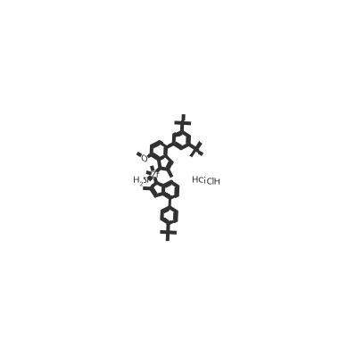 COc1ccc(-c2cc(C(C)(C)C)cc(C(C)(C)C)c2)c2c1[CH]([Zr]([CH3])([CH3])(=[SiH2])[CH]1C(C)=Cc3c(-c4ccc(C(C)(C)C)cc4)cccc31)C(C)=C2.Cl.Cl